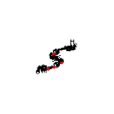 O=c1ccc2ccc(OCCCCN3CCN(c4cccc5c4C4C6SC7=C(C6C4S5)C(N4CCN(CCCCOc5ccc6ccc(=O)[nH]c6c5)CC4)CC=C7)CC3)cc2[nH]1